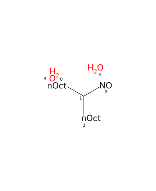 CCCCCCCCC(CCCCCCCC)N=O.O.O